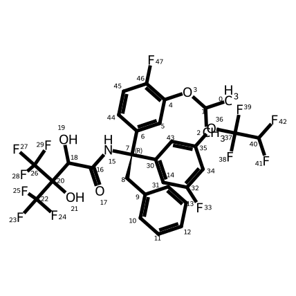 CC(C)Oc1cc([C@@](Cc2ccccc2)(NC(=O)C(O)C(O)(C(F)(F)F)C(F)(F)F)c2cc(F)cc(OC(F)(F)C(F)F)c2)ccc1F